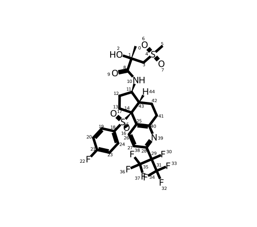 C[C@@](O)(CS(C)(=O)=O)C(=O)N[C@@H]1CC[C@@]2(S(=O)(=O)c3ccc(F)cc3)c3ccc(C(F)(C(F)(F)F)C(F)(F)F)nc3CC[C@@H]12